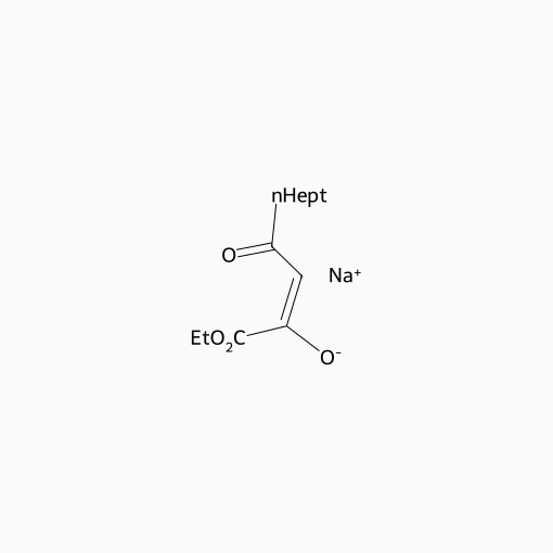 CCCCCCCC(=O)/C=C(/[O-])C(=O)OCC.[Na+]